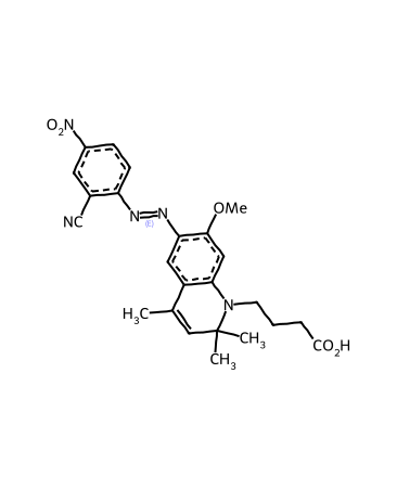 COc1cc2c(cc1/N=N/c1ccc([N+](=O)[O-])cc1C#N)C(C)=CC(C)(C)N2CCCC(=O)O